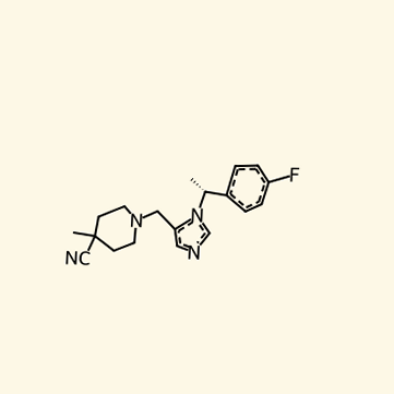 C[C@H](c1ccc(F)cc1)n1cncc1CN1CCC(C)(C#N)CC1